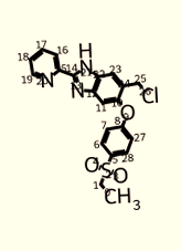 CCS(=O)(=O)c1ccc(Oc2cc3nc(-c4ccccn4)[nH]c3cc2CCl)cc1